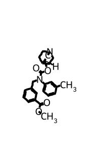 COC(=O)c1cccc(CN(C(=O)O[C@H]2CN3CCC2CC3)c2cccc(C)c2)c1